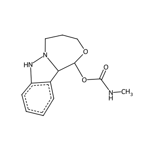 CNC(=O)OC1OCCCN2Nc3ccccc3C12